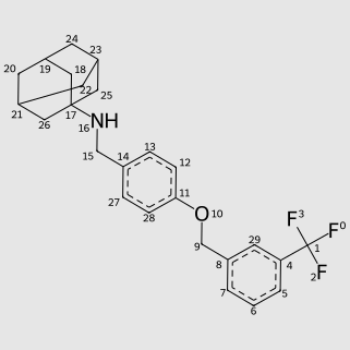 FC(F)(F)c1cccc(COc2ccc(CNC34CC5CC(CC(C5)C3)C4)cc2)c1